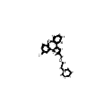 Clc1ccc2c(c1)-c1sc(COCCN3CCCCC3)cc1-c1ccccc1O2